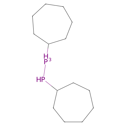 C1CCCC(P[PH3]C2CCCCCC2)CC1